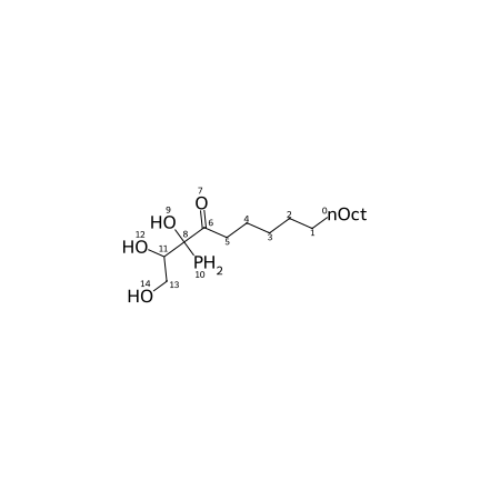 CCCCCCCCCCCCCC(=O)C(O)(P)C(O)CO